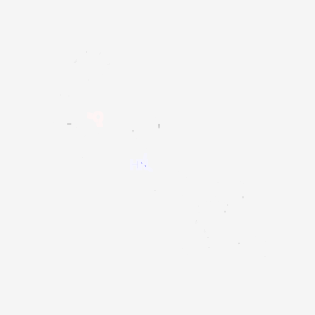 c1ccc(-c2c3ccccc3c(-c3ccc(Nc4ccccc4-c4cccc5c4oc4c(-c6ccccc6)cccc45)cc3)c3ccccc23)cc1